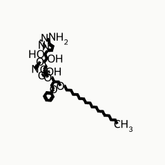 CCCCCCCCCCCCCCCCCCOCC(COc1ccccc1)COP(=O)(O)OC[C@@H](OC#N)[C@@H](O)[C@@H](O)c1ccc2c(N)ncnn12